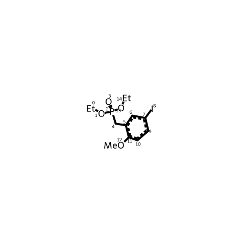 CCOP(=O)(Cc1cc(I)ccc1OC)OCC